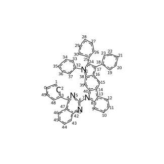 c1ccc(-c2nc(-n3c4ccccc4c4cc5c(-c6ccccc6)c(-c6ccccc6)n(-c6ccccc6)c5cc43)nc3ccccc23)cc1